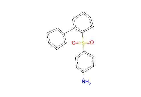 Nc1ccc(S(=O)(=O)c2ccccc2-c2ccccc2)cc1